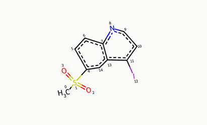 CS(=O)(=O)c1ccc2nccc(I)c2c1